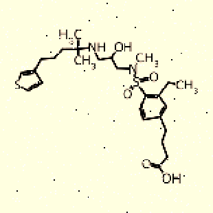 CCc1cc(CCCC(=O)O)ccc1S(=O)(=O)N(C)CC(O)CNC(C)(C)CCCc1ccsc1